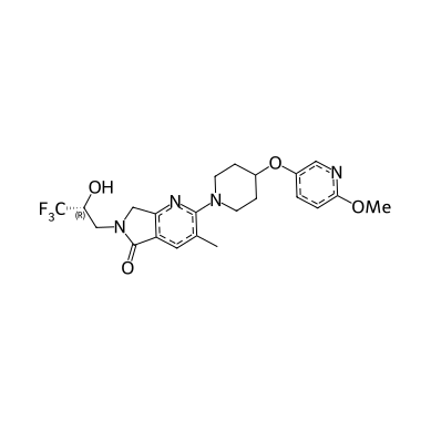 COc1ccc(OC2CCN(c3nc4c(cc3C)C(=O)N(C[C@@H](O)C(F)(F)F)C4)CC2)cn1